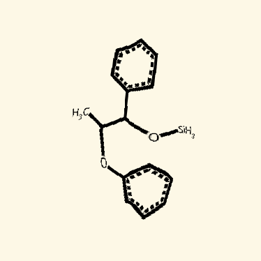 CC(Oc1ccccc1)C(O[SiH3])c1ccccc1